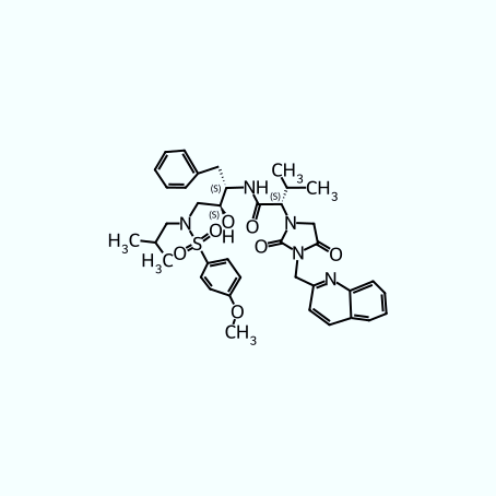 COc1ccc(S(=O)(=O)N(CC(C)C)C[C@H](O)[C@H](Cc2ccccc2)NC(=O)[C@H](C(C)C)N2CC(=O)N(Cc3ccc4ccccc4n3)C2=O)cc1